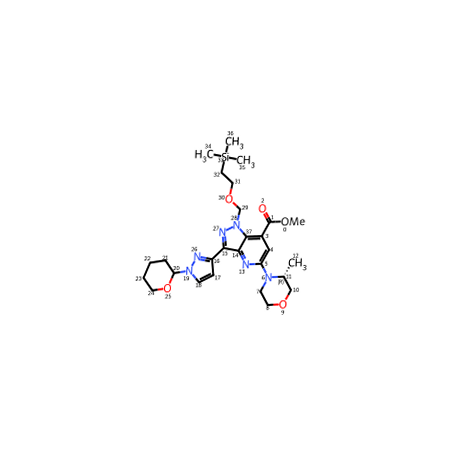 COC(=O)c1cc(N2CCOC[C@H]2C)nc2c(-c3ccn(C4CCCCO4)n3)nn(COCC[Si](C)(C)C)c12